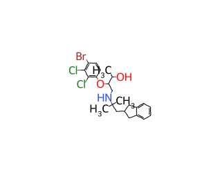 CC(O)C(CNC(C)(C)CC1Cc2ccccc2C1)Oc1ccc(Br)c(Cl)c1Cl